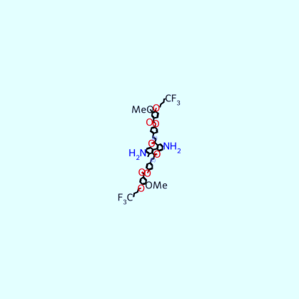 COc1cc(C(=O)Oc2ccc(/C=C/C(=O)c3cc(N)ccc3-c3ccc(N)c(C)c3C(=O)/C=C/c3ccc(OC(=O)c4ccc(OCCCCC(F)(F)F)c(OC)c4)cc3)cc2)ccc1OCCCCC(F)(F)F